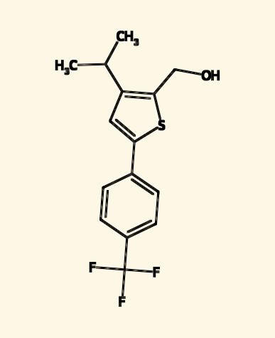 CC(C)c1cc(-c2ccc(C(F)(F)F)cc2)sc1CO